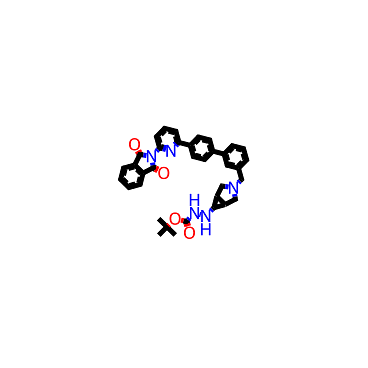 CC(C)(C)OC(=O)NNC1C2CN(Cc3cccc(-c4ccc(-c5cccc(N6C(=O)c7ccccc7C6=O)n5)cc4)c3)CC21